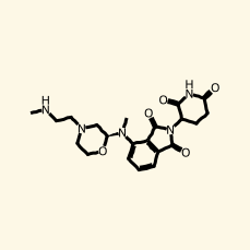 CNCCN1CCO[C@H](N(C)c2cccc3c2C(=O)N(C2CCC(=O)NC2=O)C3=O)C1